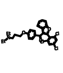 CCN(CC)CCCOc1ccc(C(=O)c2c(-c3c(Cl)cc(Cl)cc3Cl)oc3ccccc23)cc1